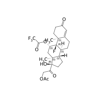 CC(=O)OCC(=O)[C@@]1(O)CC[C@H]2[C@@H]3CCC4=CC(=O)CC[C@]4(C)[C@@]3(F)[C@@H](OC(=O)C(F)(F)F)C[C@@]21C